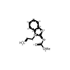 C=CCn1c(=NC(=O)OC)sc2ccccc21